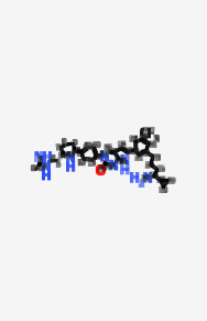 CC(=N)NCC[C@@H]1CCC[C@@H](c2ccc(-n3cc4cc(-c5cc(CCCC(N)C6CC6)cc(C(F)(F)F)c5)[nH]c4nc3=O)cc2)N1